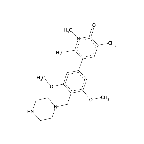 COc1cc(-c2cc(C)c(=O)n(C)c2C)cc(OC)c1CN1CCNCC1